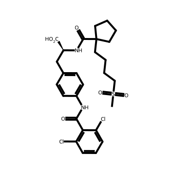 CS(=O)(=O)CCCCC1(C(=O)N[C@@H](Cc2ccc(NC(=O)c3c(Cl)cccc3Cl)cc2)C(=O)O)CCCC1